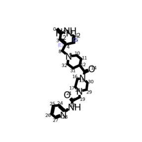 C=C(N)/C=C(\C=C/N)CN1CCC(C(=O)N2CCN(CC(=O)Nc3ccccn3)CC2)CC1